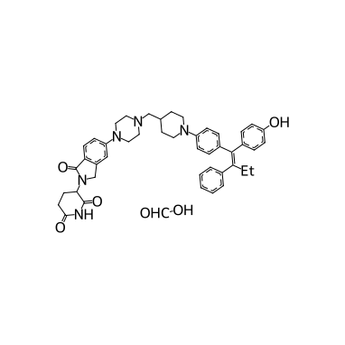 CCC(=C(c1ccc(O)cc1)c1ccc(N2CCC(CN3CCN(c4ccc5c(c4)CN(C4CCC(=O)NC4=O)C5=O)CC3)CC2)cc1)c1ccccc1.O=CO